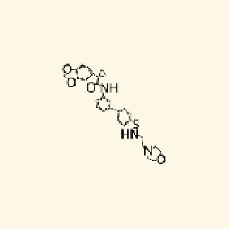 O=C(Nc1cccc(-c2ccc(SNCCN3CCOCC3)cc2)c1)C1(c2ccc3c(c2)OCO3)CC1